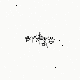 C[C@@H]1Cc2oc(C(=O)NCc3cncs3)c(C(F)(F)F)c2-c2nn(C[C@H]3COCCO3)cc21